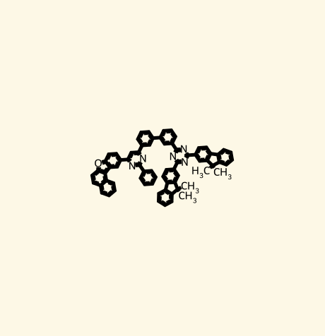 CC1(C)c2ccccc2-c2ccc(-c3nc(-c4cccc(-c5cccc(-c6cc(-c7ccc8oc9ccc%10ccccc%10c9c8c7)nc(-c7ccccc7)n6)c5)c4)nc(-c4ccc5c(c4)C(C)(C)c4ccccc4-5)n3)cc21